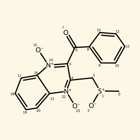 C[S+]([O-])Cc1c(C(=O)c2ccccc2)[n+]([O-])c2ccccc2[n+]1[O-]